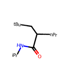 CCCC(CC(C)(C)C)C(=O)NC(C)C